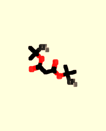 CC(C)(OC(=O)CC(=O)OC(C)(C)C(F)(F)F)C(F)(F)F